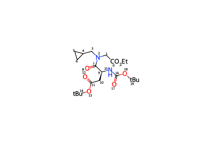 CCOC(=O)CN(CC1CC1)C(=O)[C@H](CC(=O)OC(C)(C)C)NC(=O)OC(C)(C)C